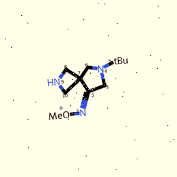 CO/N=C1/CN(C(C)(C)C)CC12CNC2